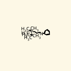 CC(C)(C)P(CCC=Nc1ccccc1)C(C)(C)C